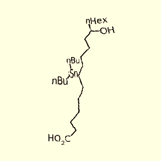 CCCCCC[C@@H](O)CCCCCCCCCCC(=O)O.CCC[CH2][Sn][CH2]CCC